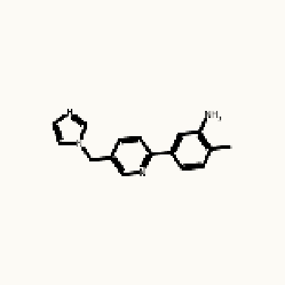 Cc1ccc(-c2ccc(Cn3ccnc3)cn2)cc1N